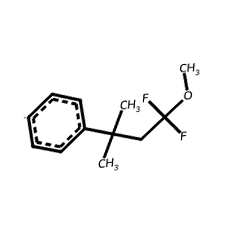 COC(F)(F)CC(C)(C)c1cc[c]cc1